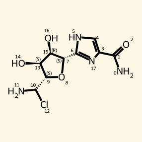 NC(=O)c1c[nH]c([C@@H]2O[C@H](C(N)Cl)[C@@H](O)[C@H]2O)n1